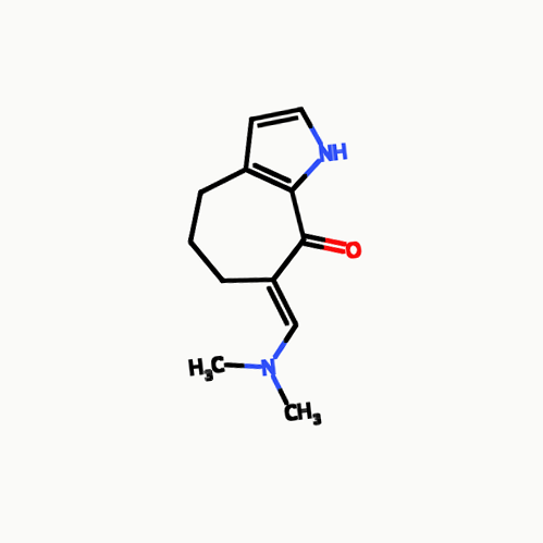 CN(C)C=C1CCCc2cc[nH]c2C1=O